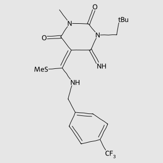 CS/C(NCc1ccc(C(F)(F)F)cc1)=C1/C(=N)N(CC(C)(C)C)C(=O)N(C)C1=O